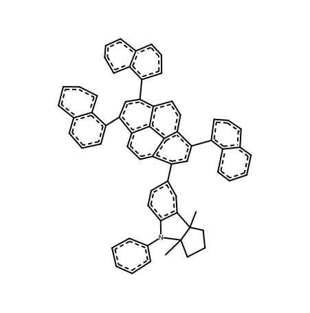 CC12CCCC1(C)N(c1ccccc1)c1ccc(-c3cc(-c4cccc5ccccc45)c4ccc5c(-c6cccc7ccccc67)cc(-c6cccc7ccccc67)c6ccc3c4c65)cc12